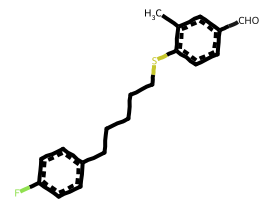 Cc1cc(C=O)ccc1SCCCCCc1ccc(F)cc1